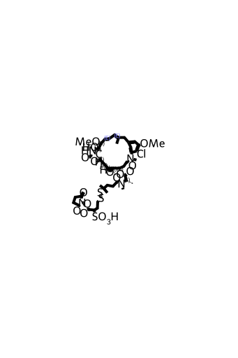 COc1cc2cc(c1Cl)N(C)C(=O)C[C@H](OC(=O)[C@H](C)N(C)C(=O)CCC(C)(C)SSCCC(C(=O)ON1C(=O)CCC1=O)S(=O)(=O)O)[C@@]1(C)O[C@H]1[C@H](C)[C@@H]1C[C@@](O)(NC(=O)O1)[C@H](OC)/C=C/C=C(\C)C2